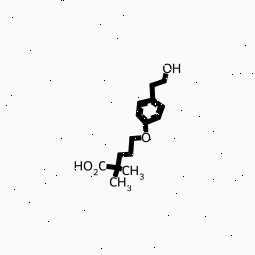 CC(C)(CCCOc1ccc(CCO)cc1)C(=O)O